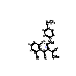 COC(=O)/C(=N\Nc1ccc(OC(F)(F)F)cc1)C(=O)c1c(F)cccc1Br